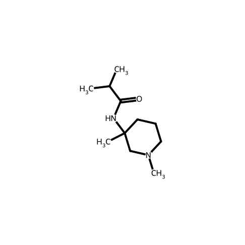 CC(C)C(=O)NC1(C)CCCN(C)C1